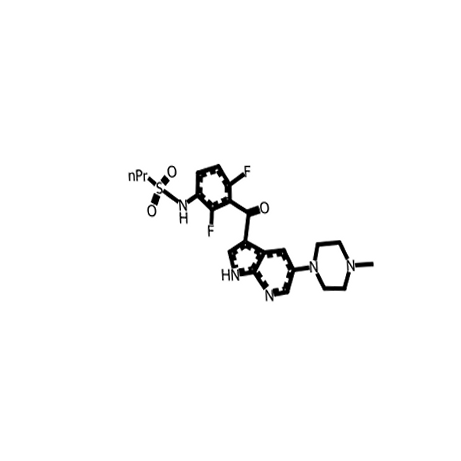 CCCS(=O)(=O)Nc1ccc(F)c(C(=O)c2c[nH]c3ncc(N4CCN(C)CC4)cc23)c1F